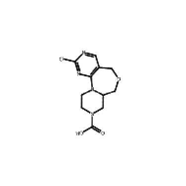 O=C(O)N1CCN2c3nc(Cl)ncc3COCC2C1